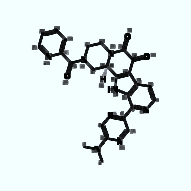 CN(C)c1cnc(-c2nccc3c4c([nH]c23)[C@H]2CN(C(=O)c3ccccn3)CCN2C(=O)C4=O)cn1